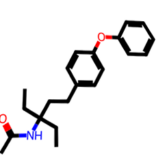 CCC(CC)(CCc1ccc(Oc2ccccc2)cc1)NC(C)=O